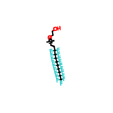 C[Si](C)(CCC(F)(F)C(F)(F)C(F)(F)C(F)(F)C(F)(F)C(F)(F)C(F)(F)C(F)(F)C(F)(F)F)OCCO